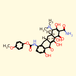 COc1ccc(OC(=O)Nc2ccc(O)c3c2C[C@@H]2C[C@@H]4[C@@H](N(C)C)C(O)=C(C(N)=O)C(=O)[C@]4(O)C(O)=C2C3=O)cc1